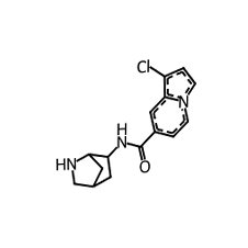 O=C(NC1CC2CNC1C2)c1ccn2ccc(Cl)c2c1